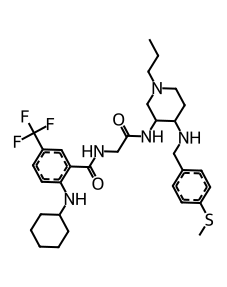 CCCN1CCC(NCc2ccc(SC)cc2)C(NC(=O)CNC(=O)c2cc(C(F)(F)F)ccc2NC2CCCCC2)C1